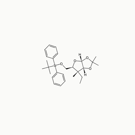 CC[C@]1(C)[C@@H](CO[Si](c2ccccc2)(c2ccccc2)C(C)(C)C)O[C@@H]2OC(C)(C)O[C@@H]21